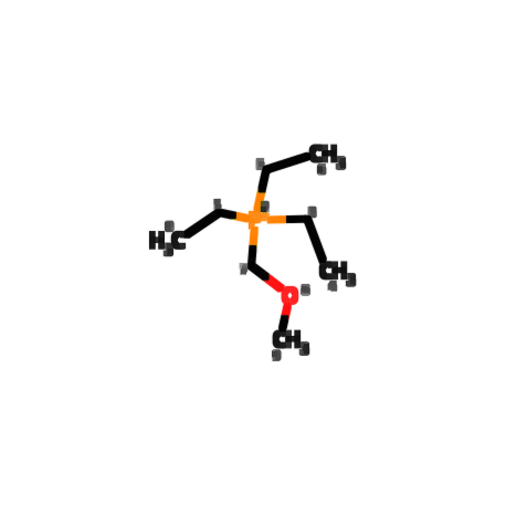 CC[P+](CC)(CC)COC